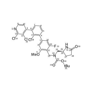 COc1cc(-c2cccc(-c3ccnc(Cl)c3Cl)c2Cl)cc(F)c1CN(C[C@@H]1CCC(=O)N1)C(=O)OC(C)(C)C